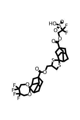 O=C(OCC1CSC2(S1)C1CC3CC2CC(C(=O)OCC(F)(F)S(=O)(=O)O)(C3)C1)C12CC3CC(C1)C1(OCC(F)(F)C(F)(F)CO1)C(C3)C2